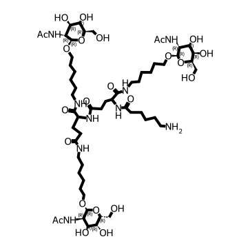 CC(=O)N[C@H]1[C@H](OCCCCCCNC(=O)CCC(NC(=O)CCC(NC(=O)CCCCCN)C(=O)NCCCCCCO[C@@H]2O[C@H](CO)[C@H](O)[C@H](O)[C@H]2NC(C)=O)C(=O)NCCCCCCO[C@@H]2O[C@H](CO)[C@H](O)[C@H](O)[C@H]2NC(C)=O)O[C@H](CO)[C@H](O)[C@@H]1O